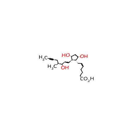 CC#CCC(C)[C@H](O)/C=C/[C@@H]1[C@@H](C/C=C\CCCC(=O)O)[C@@H](O)C[C@H]1O